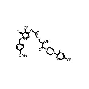 COc1ccc(Cn2ncc(O[C@@H](C)COCC(O)C(=O)N3CCN(c4ncc(C(F)(F)F)cn4)CC3)c(C(F)(F)F)c2=O)cc1